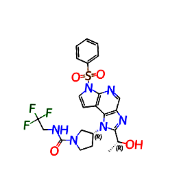 C[C@@H](O)c1nc2cnc3c(ccn3S(=O)(=O)c3ccccc3)c2n1[C@@H]1CCN(C(=O)NCC(F)(F)F)C1